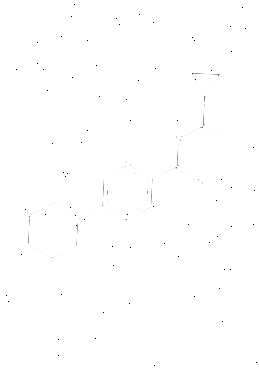 C[C@@H]1CCCN(c2ccc(C(=N)NC(=O)C3CC3)nc2)C1